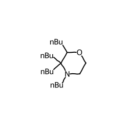 CCCCC1OCCN(CCCC)C1(CCCC)CCCC